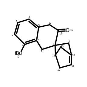 CCC(C)c1cccc2c1CC1(CC3=CCC1C3)C(=O)C2